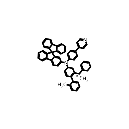 Cc1ccccc1C1=C([C@@H](C)C2=CC=CCC2)CC(N(c2ccc(-c3ccncc3)cc2)c2ccc3c(c2)C2(c4ccccc4-c4ccccc42)c2ccccc2-3)C=C1